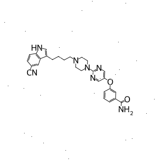 N#Cc1ccc2[nH]cc(CCCCN3CCN(c4ncc(Oc5cccc(C(N)=O)c5)cn4)CC3)c2c1